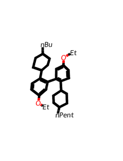 CCCCCC1CCC(c2ccc(OCC)cc2-c2cc(OCC)ccc2C2CCC(CCCC)CC2)CC1